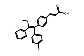 CCC(=C(c1ccc(F)cc1)c1ccc(C=CC(=O)O)cc1)c1ccccc1